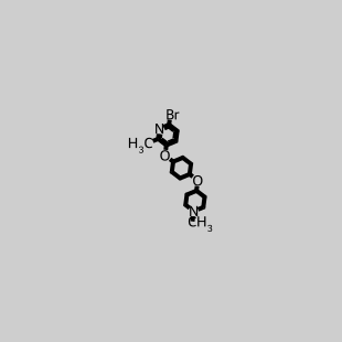 Cc1nc(Br)ccc1OC1CCC(OC2CCN(C)CC2)CC1